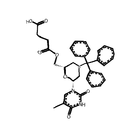 Cc1cn([C@H]2CN(C(c3ccccc3)(c3ccccc3)c3ccccc3)C[C@@H](COC(=O)CCC(=O)O)O2)c(=O)[nH]c1=O